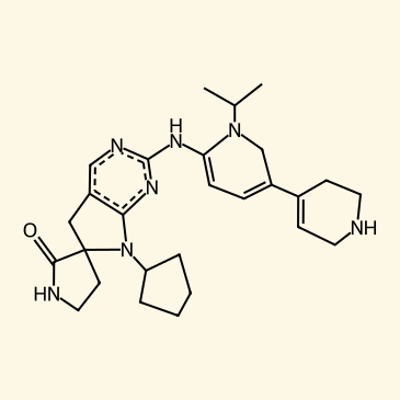 CC(C)N1CC(C2=CCNCC2)=CC=C1Nc1ncc2c(n1)N(C1CCCC1)C1(CCNC1=O)C2